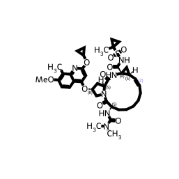 COc1ccc2c(O[C@@H]3C[C@H]4C(=O)N[C@]5(C(=O)NS(=O)(=O)C6(C)CC6)C[C@H]5/C=C\CCCCC[C@H](NC(=O)N(C)C)C(=O)N4C3)cc(OC3CC3)nc2c1C